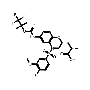 COc1cc(S(=O)(=O)N2C[C@H](C[C@H](C)C(=O)O)Oc3ccc(NC(=O)OC(C)(C)C(F)(F)F)cc32)ccc1F